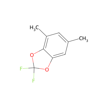 Cc1cc(C)c2c(c1)OC(F)(F)O2